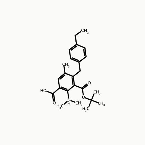 CCc1ccc(Cc2c(C)cc(C(=O)O)c([SiH](C)C)c2C(=O)OC(C)(C)C)cc1